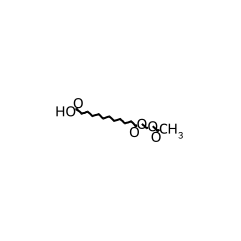 CC(=O)OCOC(=O)CCCCCCCCCCC(=O)O